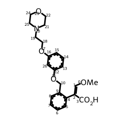 COC=C(C(=O)O)c1ccccc1COc1cccc(OCCN2CCOCC2)c1